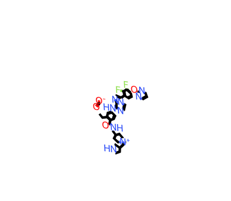 CCc1cc(Nc2nccn3c(-c4ccc(Oc5ncccn5)c(F)c4F)cnc23)ccc1C(=O)NCC1CC[N+](C)(CC2CCNC2)CC1.O=C[O-]